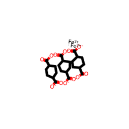 O=C([O-])C1CCC(C(=O)[O-])CC1.O=C([O-])C1CCC(C(=O)[O-])CC1.O=C([O-])C1CCC(C(=O)[O-])CC1.[Fe+3].[Fe+3]